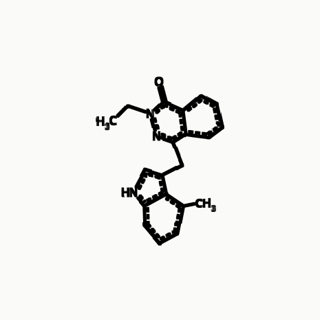 CCn1nc(Cc2c[nH]c3cccc(C)c23)c2ccccc2c1=O